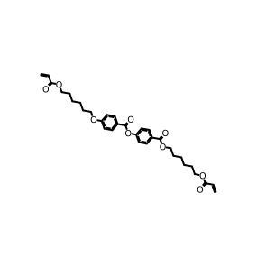 C=CC(=O)OCCCCCCOC(=O)c1ccc(OC(=O)c2ccc(OCCCCCCOC(=O)C=C)cc2)cc1